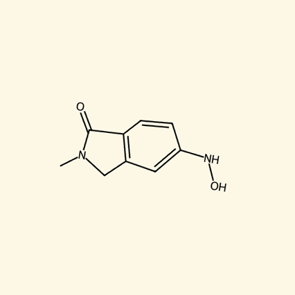 CN1Cc2cc(NO)ccc2C1=O